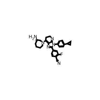 N#Cc1ccc(-c2nc3c(n2-c2ccc(C4CC4)cc2)=NCCC=3N2CCCC[C@@H](N)C2)cc1F